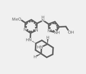 COc1cc(Nc2cc(CO)[nH]n2)nc(N[C@H]2C[C@H]3CCC[C@@H](C2)N3)n1